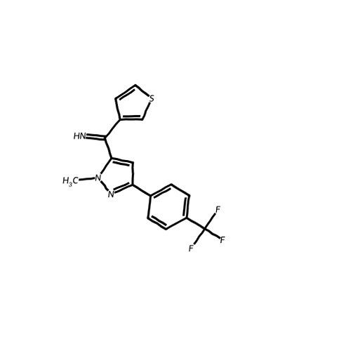 Cn1nc(-c2ccc(C(F)(F)F)cc2)cc1C(=N)c1ccsc1